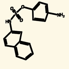 Nc1ccc(OS(=O)(=O)Nc2ccc3ccccc3c2)cc1